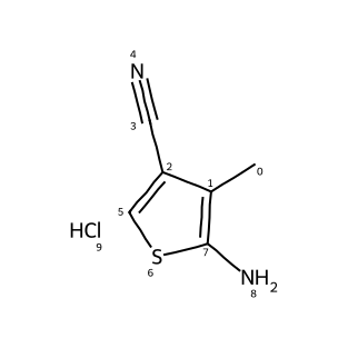 Cc1c(C#N)csc1N.Cl